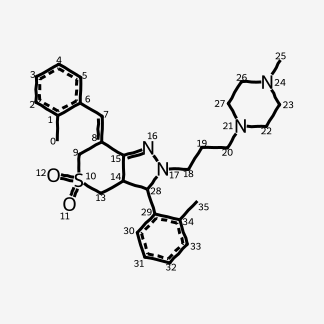 Cc1ccccc1C=C1CS(=O)(=O)CC2C1=NN(CCCN1CCN(C)CC1)C2c1ccccc1C